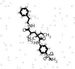 CCC(C)(CC(C)C(=O)NCCc1ccccc1)C(=O)Nc1ccc(S(N)(=O)=O)cc1